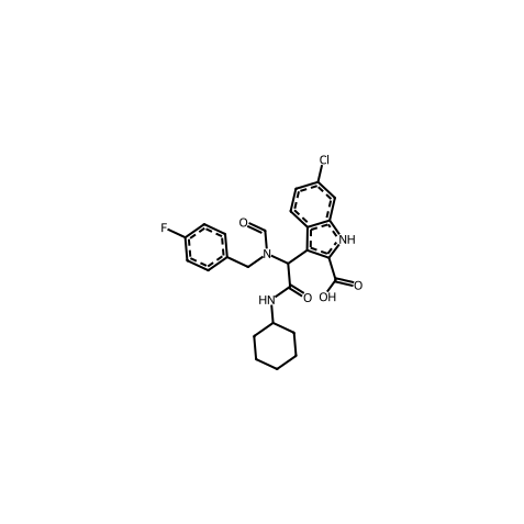 O=CN(Cc1ccc(F)cc1)C(C(=O)NC1CCCCC1)c1c(C(=O)O)[nH]c2cc(Cl)ccc12